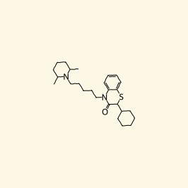 CC1CCCC(C)N1CCCCCN1C(=O)C(C2CCCCC2)Sc2ccccc21